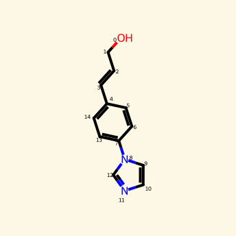 OCC=Cc1ccc(-n2ccnc2)cc1